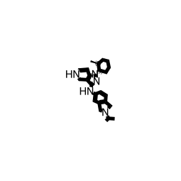 CC(C)N1Cc2ccc(Nc3nn([C@H]4CCCC[C@@H]4C)c4c3CNC=C4)cc2C1